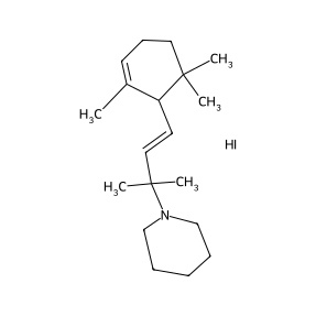 CC1=CCCC(C)(C)C1C=CC(C)(C)N1CCCCC1.I